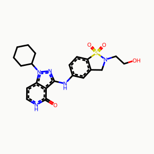 O=c1[nH]ccc2c1c(Nc1ccc3c(c1)CN(CCO)S3(=O)=O)nn2C1CCCCC1